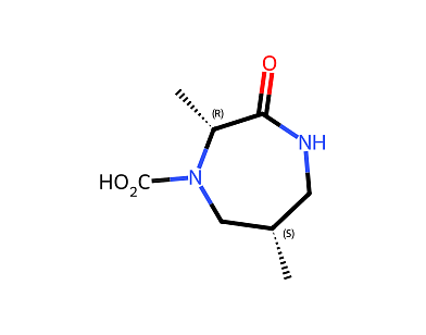 C[C@H]1CNC(=O)[C@@H](C)N(C(=O)O)C1